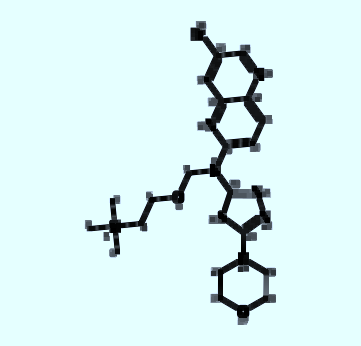 C[Si](C)(C)CCOCN(c1ccc2ncc(Br)cc2n1)c1nnc(N2CCOCC2)s1